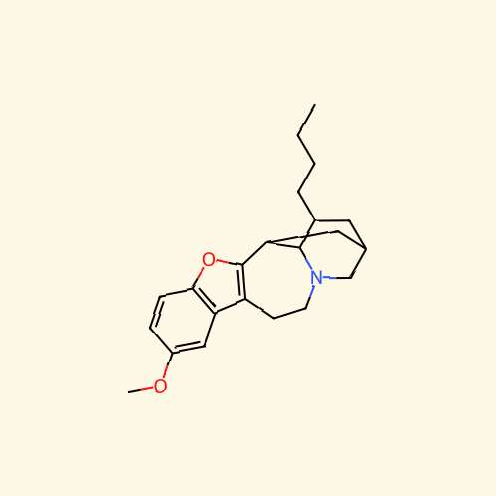 CCCCC1CC2CC3c4oc5ccc(OC)cc5c4CCN(C2)C13